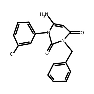 Nc1cc(=O)n(Cc2ccccc2)c(=O)n1-c1cccc(Cl)c1